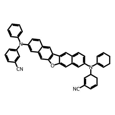 N#CC1=CC(N(C2=CCCC=C2)c2ccc3cc4c(cc3c2)oc2cc3cc(N(c5ccccc5)c5cccc(C#N)c5)ccc3cc24)CC=C1